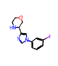 Ic1cccc(-n2cnc(C3COCCN3)c2)c1